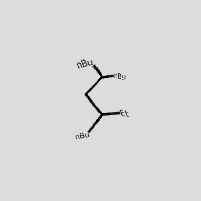 CCCCC(CC)CC(CCCC)CCCC